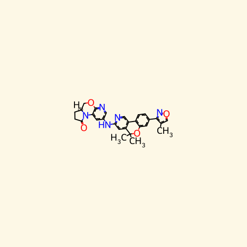 Cc1conc1-c1ccc2c(c1)OC(C)(C)c1cc(Nc3cnc4c(c3)N3C(=O)CC[C@H]3CO4)ncc1-2